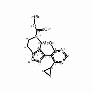 COc1ncnc(C2CC2)c1-c1nnn2c1CN(C(=O)OC(C)(C)C)CC2